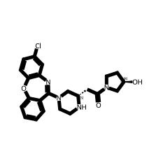 O=C(C[C@H]1CN(C2=Nc3cc(Cl)ccc3Oc3ccccc32)CCN1)N1CC[C@@H](O)C1